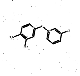 Nc1ccc(Oc2cccc(Cl)c2)cc1N